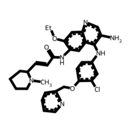 CCOc1cc2ncc(N)c(Nc3ccc(OCc4ccccn4)c(Cl)c3)c2cc1NC(=O)/C=C/C1CCCCN1C